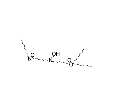 CCCCCCCCCN(C)C(=O)CCCCCCCN(CCO)CCCCCCCC(=O)OC(CCCCCCCC)CCCCCCCC